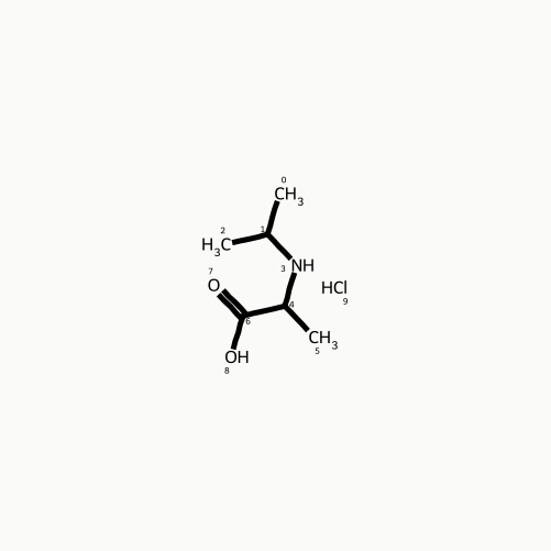 CC(C)NC(C)C(=O)O.Cl